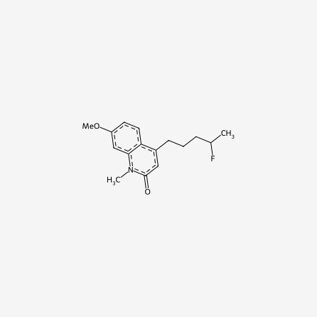 COc1ccc2c(CCCC(C)F)cc(=O)n(C)c2c1